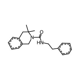 CC1(C)Cc2ccccc2CN1C(=O)NCCc1ccccc1